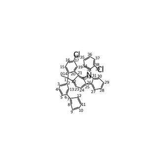 CC1(c2cccc(-c3ccccc3)c2)c2ccc(Cl)cc2-c2c1ccc1c3ccccc3n(-c3ccccc3Cl)c21